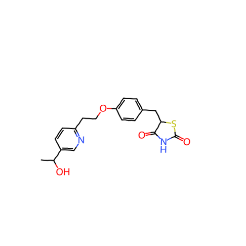 CC(O)c1ccc(CCOc2ccc(CC3SC(=O)NC3=O)cc2)nc1